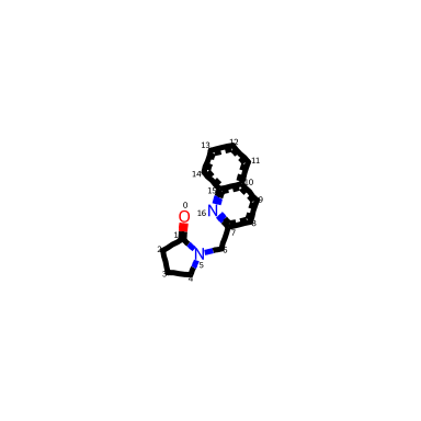 O=C1CCCN1Cc1ccc2ccccc2n1